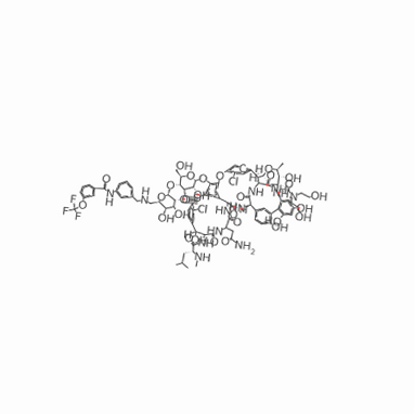 CN[C@H](CC(C)C)C(=O)NC1C(=O)NC(CC(N)=O)C(=O)N[C@H]2C(=O)N[C@H]3C(=O)N[C@H](C(=O)N[C@H](C(=O)N(CCO)CCO)c4cc(O)cc(O)c4-c4cc3ccc4O)[C@H]([C@H]3C[C@](C)(N)[C@@H](O)[C@H](C)O3)c3ccc(c(Cl)c3)Oc3cc2cc(c3O[C@@H]2O[C@H](CO)[C@@H](O[C@@H]3O[C@H](CNCc4cccc(NC(=O)c5cccc(OC(F)(F)F)c5)c4)[C@H](O)[C@H](O)[C@H]3O)[C@H](O)[C@H]2O)Oc2ccc(cc2Cl)[C@H]1O